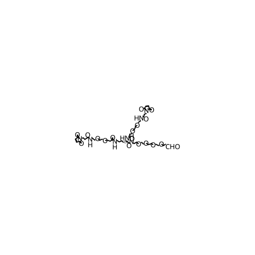 O=CCCOCCOCCOCCOCCNC(=O)[C@H](CCCCNC(=O)CCOCCOCCNC(=O)CCN1C(=O)C=CC1=O)NC(=O)CCOCCOCCNC(=O)CCN1C(=O)C=CC1=O